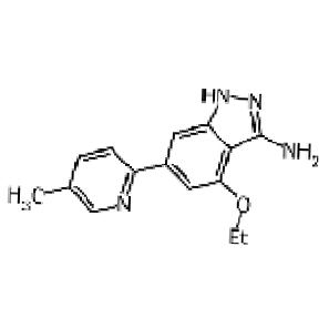 CCOc1cc(-c2ccc(C)cn2)cc2[nH]nc(N)c12